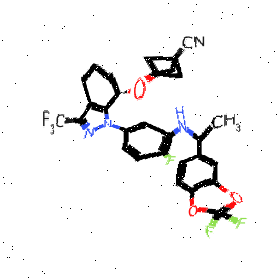 CC(Nc1cc(-n2nc(C(F)(F)F)c3c2[C@@H](OC24CC(C#N)(C2)C4)CCC3)ccc1F)c1ccc2c(c1)OC(F)(F)O2